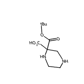 CC(C)(C)OC(=O)C1(C(=O)O)CNCCN1